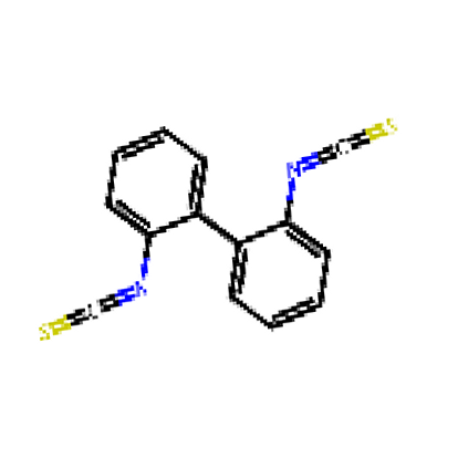 S=C=Nc1ccccc1-c1ccccc1N=C=S